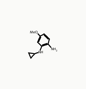 COc1ccc(N)c(NC2CC2)c1